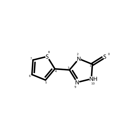 S=C1[N]C(c2cccs2)=NN1